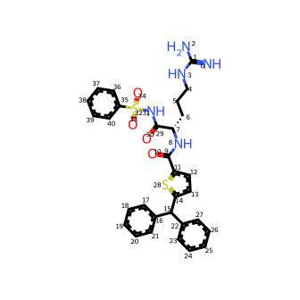 N=C(N)NCCC[C@H](NC(=O)c1ccc(C(c2ccccc2)c2ccccc2)s1)C(=O)NS(=O)(=O)c1ccccc1